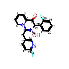 O=C1C2=CC=CCN2C(Cc2ccc(F)nc2)N(O)C1c1ccccc1F